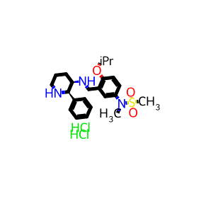 CC(C)Oc1ccc(N(C)S(C)(=O)=O)cc1CN[C@@H]1CCCN[C@@H]1c1ccccc1.Cl.Cl